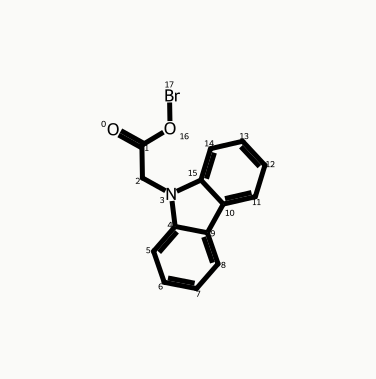 O=C(Cn1c2ccccc2c2ccccc21)OBr